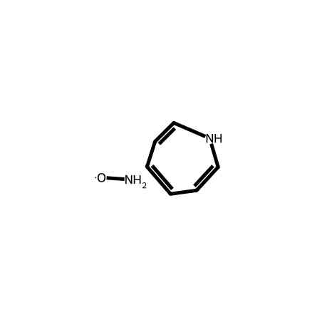 C1=CC=CNC=C1.N[O]